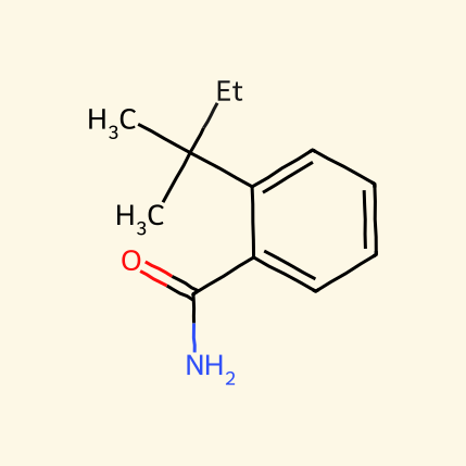 CCC(C)(C)c1ccccc1C(N)=O